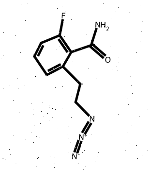 [N-]=[N+]=NC[CH]c1cccc(F)c1C(N)=O